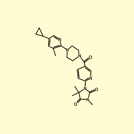 Cc1cc(C2CC2)cnc1N1CCN(C(=O)c2ccc(N3C(=O)N(C)C(=O)C3(C)C)nc2)CC1